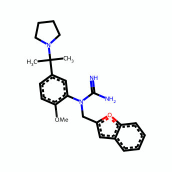 COc1ccc(C(C)(C)N2CCCC2)cc1N(Cc1cc2ccccc2o1)C(=N)N